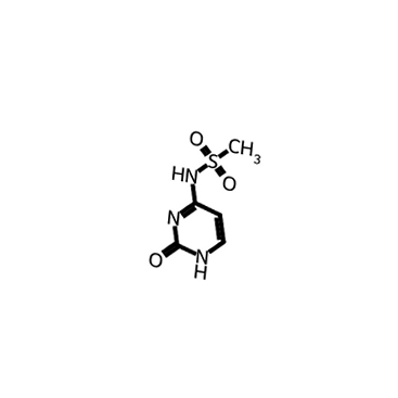 CS(=O)(=O)Nc1cc[nH]c(=O)n1